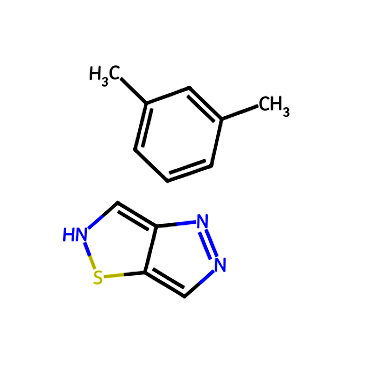 Cc1cccc(C)c1.c1[nH]sc2cnnc1-2